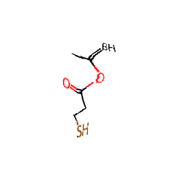 B=C(C)OC(=O)CCS